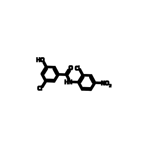 O=C(Nc1ccc([N+](=O)[O-])cc1Cl)c1cc(O)cc(Cl)c1